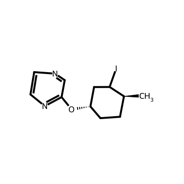 C[C@H]1CC[C@H](Oc2cnccn2)CC1I